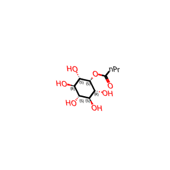 CCCC(=O)O[C@@H]1[C@H](O)[C@@H](O)[C@H](O)[C@@H](O)[C@@H]1O